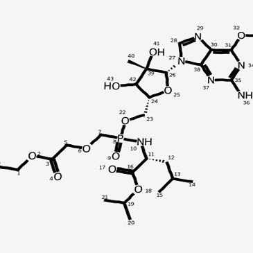 CCOC(=O)COCP(=O)(N[C@H](CC(C)C)C(=O)OC(C)C)OC[C@H]1O[C@@H](n2cnc3c(OC)nc(N)nc32)[C@@](C)(O)C1O